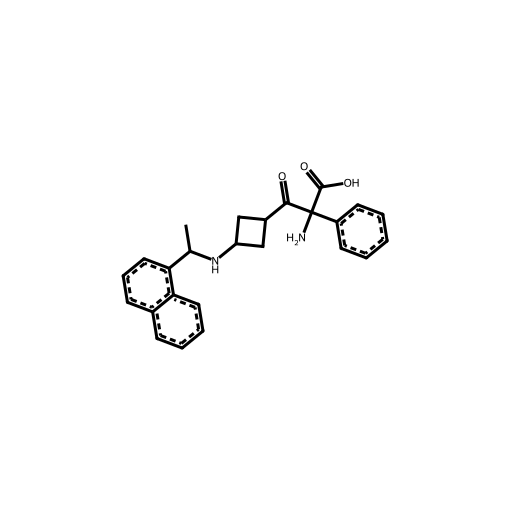 CC(NC1CC(C(=O)C(N)(C(=O)O)c2ccccc2)C1)c1cccc2ccccc12